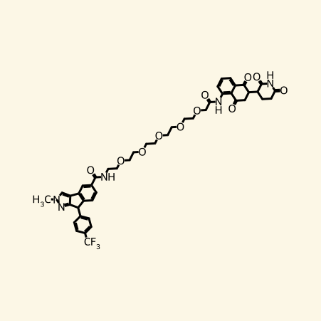 Cn1cc2c(n1)C(c1ccc(C(F)(F)F)cc1)c1ccc(C(=O)NCCOCCOCCOCCOCCOCC(=O)Nc3cccc4c3C(=O)CC(C3CCC(=O)NC3=O)C4=O)cc1-2